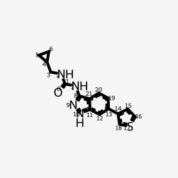 O=C(NCC1CC1)Nc1n[nH]c2cc(-c3ccsc3)ccc12